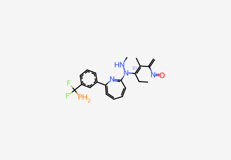 C=C(N=O)/C(C)=C(\CC)N(NC)C1=NC(c2cccc(C(F)(F)P)c2)=C=CC=C1